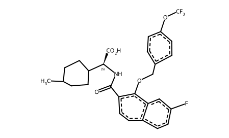 CC1CCC([C@H](NC(=O)c2ccc3ccc(F)cc3c2OCc2ccc(OC(F)(F)F)cc2)C(=O)O)CC1